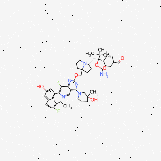 CCc1c(F)ccc2cc(O)cc(-c3ncc4c(N5CCC[C@@](C)(O)C5)nc(OC[C@@]56CCCN5[C@H](CC(OC(N)=O)(C5CCC(C=O)CC5)C(C)(C)C)CC6)nc4c3F)c12